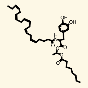 CC/C=C\C/C=C\C/C=C\C/C=C\C/C=C\CCCC(=O)NC(Cc1ccc(O)c(O)c1)C(=O)OC(C)OC(=O)CCCCCCC